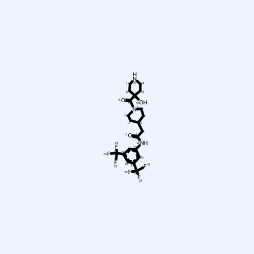 O=C(CC1CCN(C(=O)C2(O)CCNCC2)CC1)Nc1cc(C(F)(F)F)cc(C(F)(F)F)c1